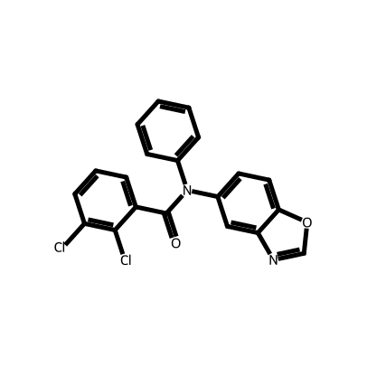 O=C(c1cccc(Cl)c1Cl)N(c1ccccc1)c1ccc2ocnc2c1